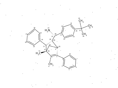 CC1=C(c2ccccc2)[P@]2C[C@@]1(C)C(c1ccccc1)[C@@H]2[C@H](N)c1ccc(C(C)(C)C)cc1